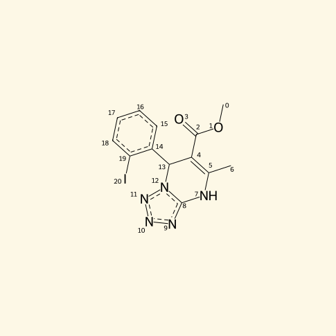 COC(=O)C1=C(C)Nc2nnnn2C1c1ccccc1I